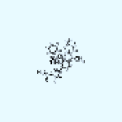 CC(C)C1COC(c2cccc(O[C@H]3C[C@@H](C)CC[C@@H]3C(C)C)c2NS(=O)(=O)c2ccccc2)=N1